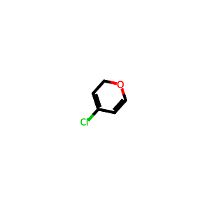 ClC1=CCOC=C1